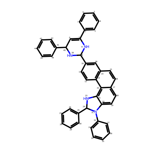 C1=C(c2ccccc2)NC(c2ccc3c(ccc4ccc5c(c43)NC(c3ccccc3)N5c3ccccc3)c2)NC1c1ccccc1